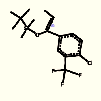 C/C=C(\O[Si](C)(C)C(C)(C)C)c1ccc(Cl)c(C(F)(F)F)c1